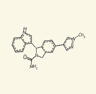 Cn1cc(-c2ccc3c(c2)CN(C(N)=O)C3c2c[nH]c3ccccc23)cn1